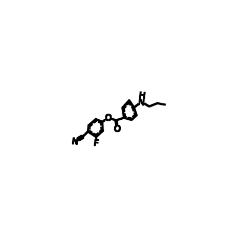 CCCNc1ccc(C(=O)Oc2ccc(C#N)c(F)c2)cc1